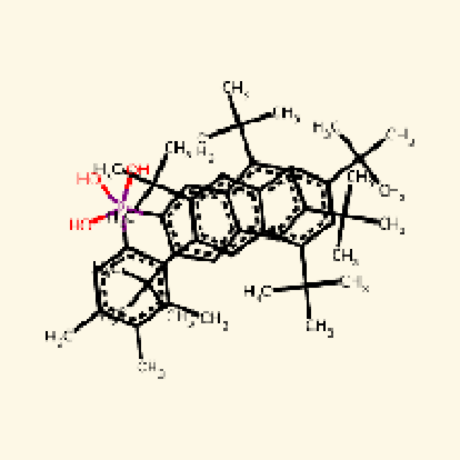 Cc1cc(P(O)(O)(O)c2cc3c(C(C)(C)C)cc(C(C)(C)C)cc3cc2C(C)(C)C)c(-c2cc3c(C(C)(C)C)cc(C(C)(C)C)cc3cc2C(C)(C)C)c(C)c1C